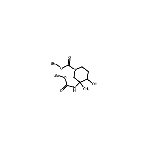 CC(C)(C)OC(=O)NC1(C)CN(C(=O)OC(C)(C)C)CCC1O